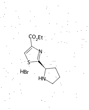 Br.CCOC(=O)c1csc([C@H]2CCCN2)n1